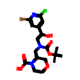 CC(C)(C)OC(=O)N(CC(O)c1cc(Cl)nc(Br)c1)CC1COCCN1C(=O)O